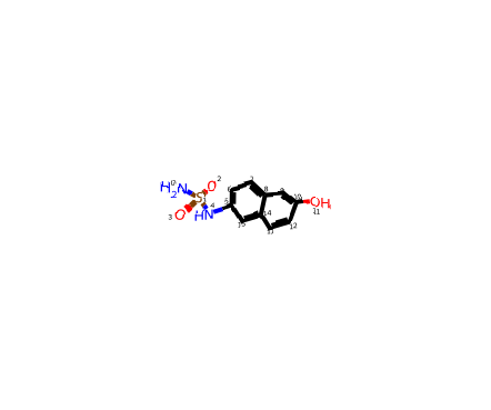 NS(=O)(=O)Nc1ccc2cc(O)ccc2c1